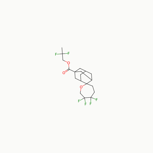 CC(F)(F)COC(=O)C12CC3CC(C1)C1(CCC(F)(F)C(F)(F)CO1)C(C3)C2